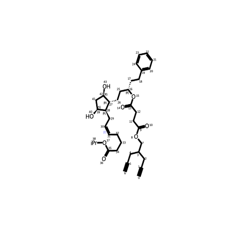 C#CCC(CC#C)COC(=O)CCC(=O)O[C@@H](CCc1ccccc1)CC[C@@H]1[C@@H](C/C=C\CCCC(=O)OC(C)C)[C@@H](O)C[C@H]1O